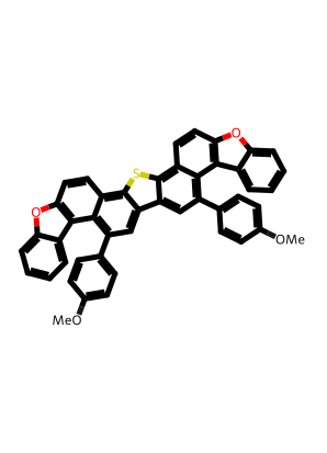 COc1ccc(-c2cc3c4cc(-c5ccc(OC)cc5)c5c(ccc6oc7ccccc7c65)c4sc3c3ccc4oc5ccccc5c4c23)cc1